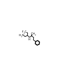 C=C(CCc1ccccc1)NC(CN)CC(F)(F)F